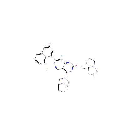 CSc1cccc2cc(O)cc(-c3ncc4c(N5CC6CCC(C5)N6)nc(OC[C@@]56CCCN5C[C@H](F)C6)nc4c3F)c12